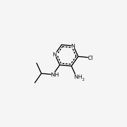 CC(C)Nc1ncnc(Cl)c1N